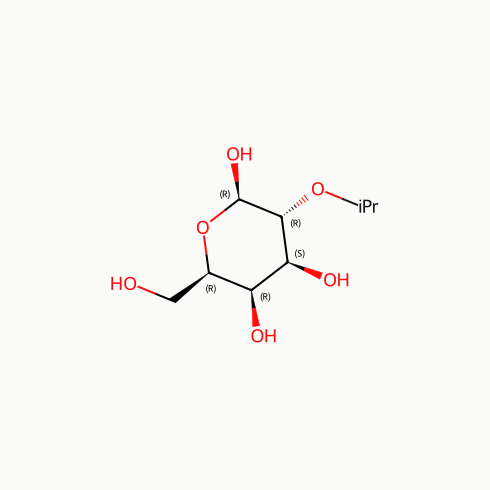 CC(C)O[C@@H]1[C@@H](O)[C@@H](O)[C@@H](CO)O[C@H]1O